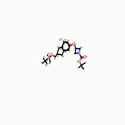 CC(C)(C)OC(=O)N1CC(Oc2cc(F)c3c(c2)CC(CO[Si](C)(C)C(C)(C)C)C3)C1